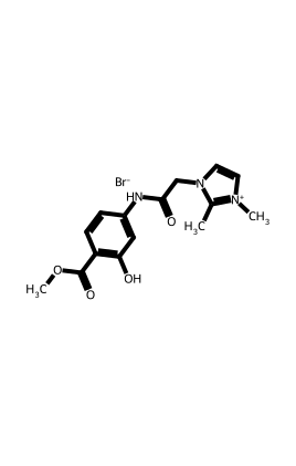 COC(=O)c1ccc(NC(=O)Cn2cc[n+](C)c2C)cc1O.[Br-]